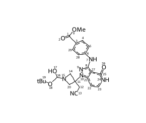 COC(=O)c1ccc(Nc2nn(C3(CC#N)CN(C(O)OC(C)(C)C)C3)c3cc[nH]c(=O)c23)cc1